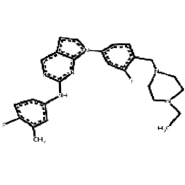 CCN1CCN(Cc2ccc(-n3ccc4cnc(Nc5ccc(F)c(C)c5)nc43)cc2F)CC1